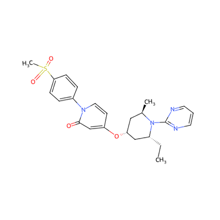 CC[C@@H]1C[C@H](Oc2ccn(-c3ccc(S(C)(=O)=O)cc3)c(=O)c2)C[C@@H](C)N1c1ncccn1